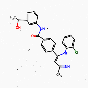 CC(O)c1cccc(NC(=O)c2ccc(/C(=C/C(=N)C(F)(F)F)Nc3ccccc3Cl)cc2)c1